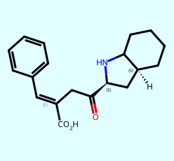 O=C(O)/C(=C/c1ccccc1)CC(=O)[C@@H]1C[C@@H]2CCCCC2N1